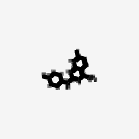 Cc1ccc2c(N)nc(NC3CCN(C)CC3)nc2n1